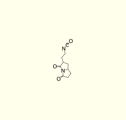 O=C=NCCC1CC2CCC(=O)N2C1=O